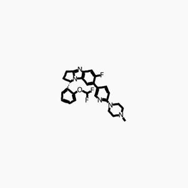 CN1CCN(c2ccc(-c3cc4c(cc3F)nc3n4[C@H](c4ccccc4OC(F)F)CC3)cn2)CC1